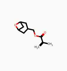 C=C(C)C(=O)OCC1CC2CC(C1)O2